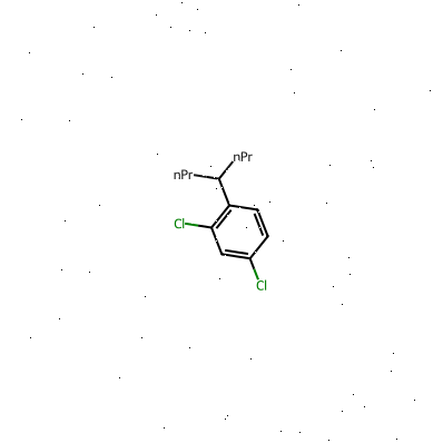 CCCC(CCC)c1ccc(Cl)cc1Cl